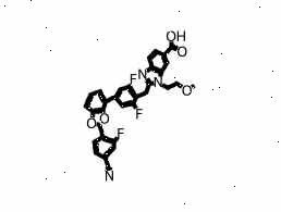 COCCn1c(Cc2c(F)cc(-c3cccc4c3OC(c3ccc(C#N)cc3F)O4)cc2F)nc2ccc(C(=O)O)cc21